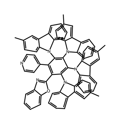 Cc1ccc2c(c1)c1ccccc1n2-c1c(-c2ccncc2)c(-c2nc3ccccc3o2)c(-n2c3ccccc3c3cc(C)ccc32)c(-n2c3ccccc3c3cc(C)ccc32)c1-n1c2ccccc2c2cc(C)ccc21